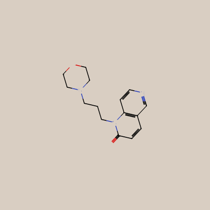 O=c1ccc2cnccc2n1CCCN1CCOCC1